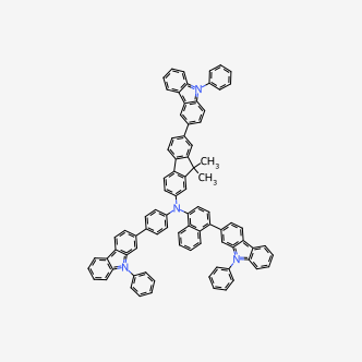 CC1(C)c2cc(-c3ccc4c(c3)c3ccccc3n4-c3ccccc3)ccc2-c2ccc(N(c3ccc(-c4ccc5c6ccccc6n(-c6ccccc6)c5c4)cc3)c3ccc(-c4ccc5c6ccccc6n(-c6ccccc6)c5c4)c4ccccc34)cc21